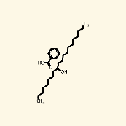 CCCCCCCCCCCC(O)CCCCCCCC.O=C(O)c1ccccc1